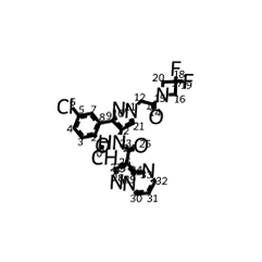 COc1ccc(Cl)cc1-c1nn(CC(=O)N2CC(F)(F)C2)cc1NC(=O)c1cnn2cccnc12